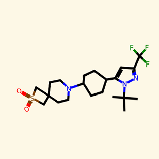 CC(C)(C)n1nc(C(F)(F)F)cc1C1CCC(N2CCC3(CC2)CS(=O)(=O)C3)CC1